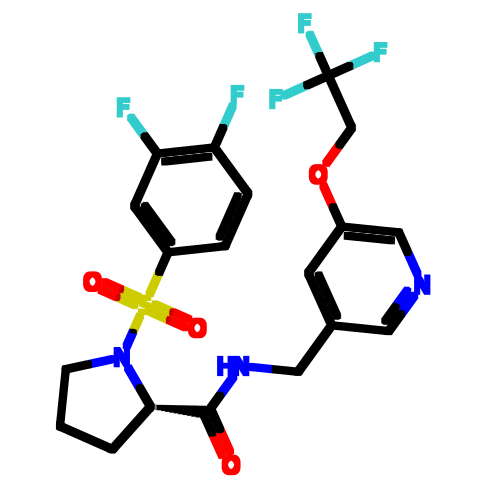 O=C(NCc1cncc(OCC(F)(F)F)c1)[C@@H]1CCCN1S(=O)(=O)c1ccc(F)c(F)c1